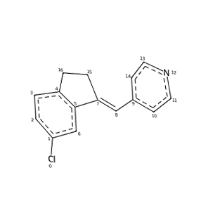 Clc1ccc2c(c1)/C(=C/c1ccncc1)CC2